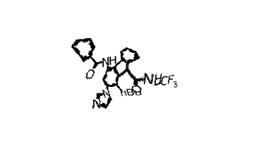 CCCCc1c(-n2ccnc2)cc(NC(=O)c2ccccc2)c2c1C(C(=O)NCC(F)(F)F)c1ccccc1-2